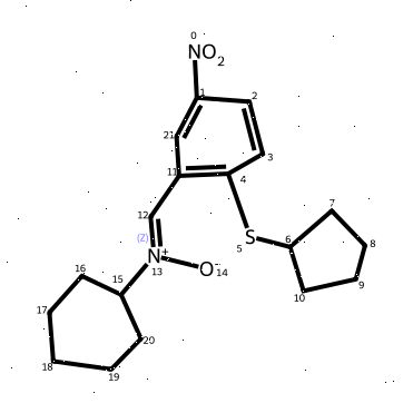 O=[N+]([O-])c1ccc(SC2CCCC2)c(/C=[N+](\[O-])C2CCCCC2)c1